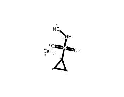 N#CNS(=O)(=O)C1CC1.[CaH2]